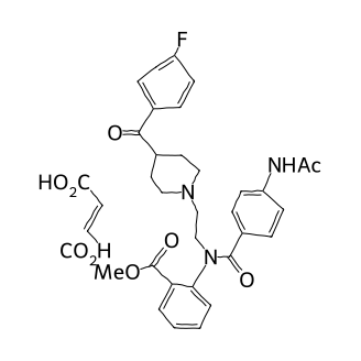 COC(=O)c1ccccc1N(CCN1CCC(C(=O)c2ccc(F)cc2)CC1)C(=O)c1ccc(NC(C)=O)cc1.O=C(O)C=CC(=O)O